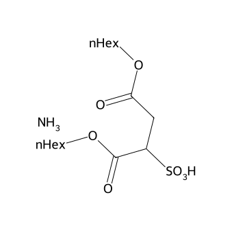 CCCCCCOC(=O)CC(C(=O)OCCCCCC)S(=O)(=O)O.N